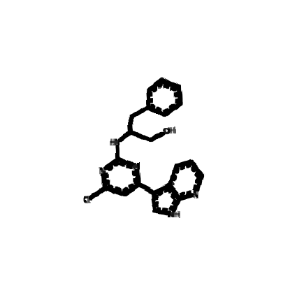 OCC(Cc1ccccc1)Nc1nc(Cl)cc(-c2c[nH]c3ncccc23)n1